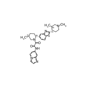 C[C@H]1CC[C@H](c2ccc3sc([C@H]4CCN(C)C[C@@H]4C)nc3c2)N(C(=O)C(=O)Nc2ccn3ccnc3c2)C1